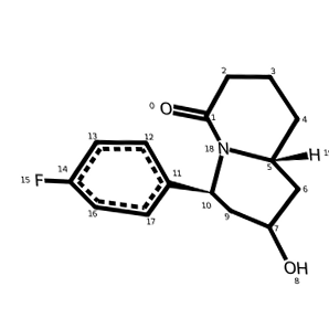 O=C1CCC[C@@H]2CC(O)C[C@@H](c3ccc(F)cc3)N12